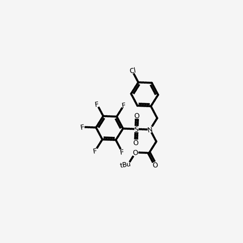 CC(C)(C)OC(=O)CN(Cc1ccc(Cl)cc1)S(=O)(=O)c1c(F)c(F)c(F)c(F)c1F